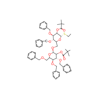 CCS[C@@H]1OC(CO[C@@H]2OC(COCc3ccccc3)[C@H](OCc3ccccc3)[C@@H](OCc3ccccc3)C2OC(=O)C(C)(C)C)[C@H](OCc2ccccc2)[C@@H](OCc2ccccc2)C1OC(=O)C(C)(C)C